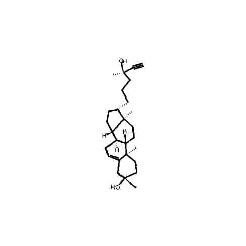 C#C[C@](C)(O)CCC[C@H]1CC[C@H]2[C@@H]3CC=C4C[C@@](C)(O)CC[C@]4(C)[C@H]3CC[C@]12C